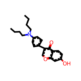 CCCCN(CCCC)c1ccc(-c2coc3cc(O)ccc3c2=O)cc1